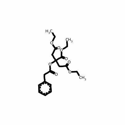 CCOC(=O)CC(CC(=O)OCC)(OC(=O)Cc1ccccc1)C(=O)OCC